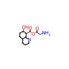 NCC(=O)OC(=O)c1c(O)ccc2cccnc12